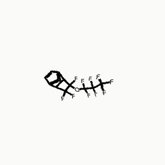 FC(F)(F)C(F)(F)C(F)(F)OC1(F)C2C3=C=C(C=C3)C2C1(F)F